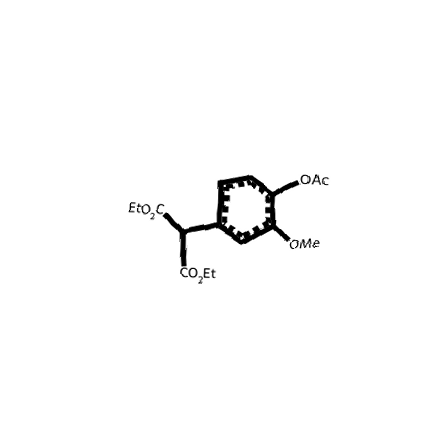 CCOC(=O)C(C(=O)OCC)c1ccc(OC(C)=O)c(OC)c1